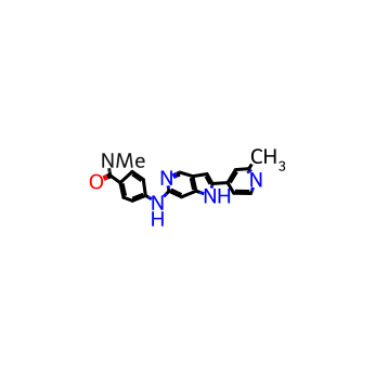 CNC(=O)c1ccc(Nc2cc3[nH]c(-c4ccnc(C)c4)cc3cn2)cc1